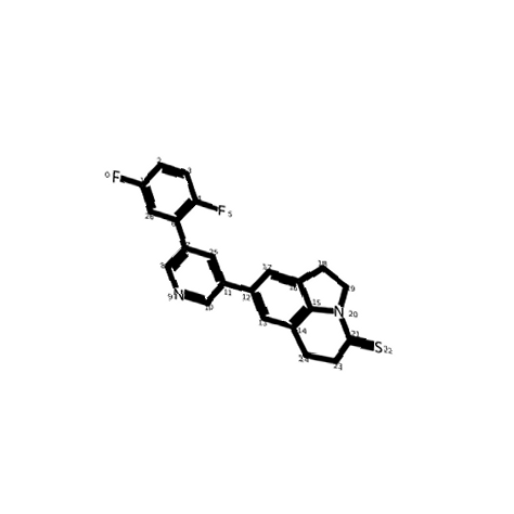 Fc1ccc(F)c(-c2cncc(-c3cc4c5c(c3)CCN5C(=S)CC4)c2)c1